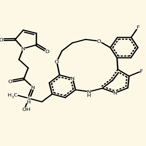 C[SH](O)(Cc1cc2nc(c1)OCCCOc1cc(F)ccc1-c1cc(ncc1F)N2)=NC(=O)CCN1C(=O)C=CC1=O